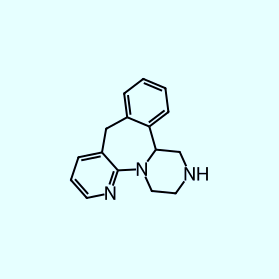 c1ccc2c(c1)Cc1cccnc1N1CCNCC21